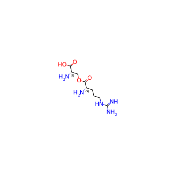 N=C(N)NCCC[C@H](N)C(=O)OC[C@H](N)C(=O)O